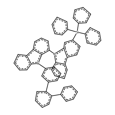 c1ccc(-c2ccccc2-c2cccc(-n3c4ccccc4c4cccc(-n5c6ccccc6c6ccc([Si](c7ccccc7)(c7ccccc7)c7ccccc7)cc65)c43)c2)cc1